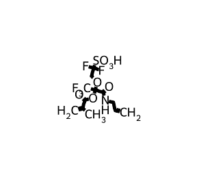 C=CCNC(=O)C(OCC(F)(F)S(=O)(=O)O)(OC(=O)C(=C)C)C(F)(F)F